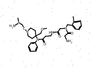 COCC1(N(C(=O)CCNC(=O)CN(Cc2ccccc2C)C(=O)CN)c2ccccc2)CCN(CCN(C)N)CC1